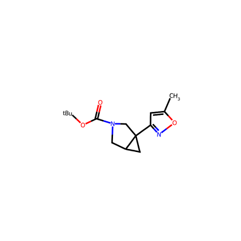 Cc1cc(C23CC2CN(C(=O)OC(C)(C)C)C3)no1